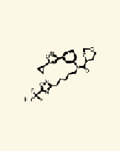 CC(F)(F)c1nc(CCCCCN(C(=O)C2CCOCC2)c2cccc(-c3cc(C4CC4)on3)c2)no1